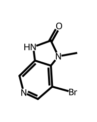 Cn1c(=O)[nH]c2cncc(Br)c21